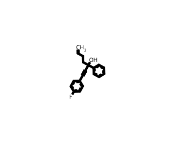 C=CCCC(O)(C#Cc1ccc(F)cc1)c1ccccc1